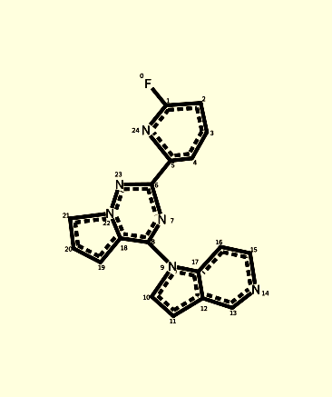 Fc1cccc(-c2nc(-n3ccc4cnccc43)c3cccn3n2)n1